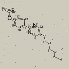 CCCCCCCc1cnc(-c2ccc(OC(F)F)cc2)nc1